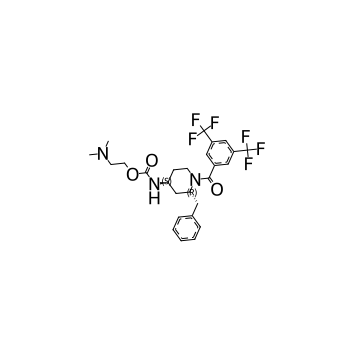 CN(C)CCOC(=O)N[C@H]1CCN(C(=O)c2cc(C(F)(F)F)cc(C(F)(F)F)c2)[C@H](Cc2ccccc2)C1